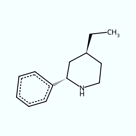 CC[C@H]1CCN[C@H](c2ccccc2)C1